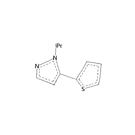 CC(C)n1nccc1-c1cccs1